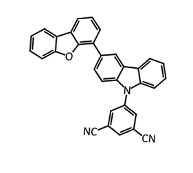 N#Cc1cc(C#N)cc(-n2c3ccccc3c3cc(-c4cccc5c4oc4ccccc45)ccc32)c1